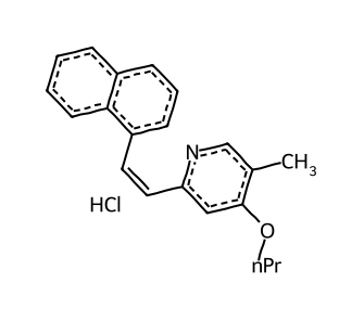 CCCOc1cc(/C=C\c2cccc3ccccc23)ncc1C.Cl